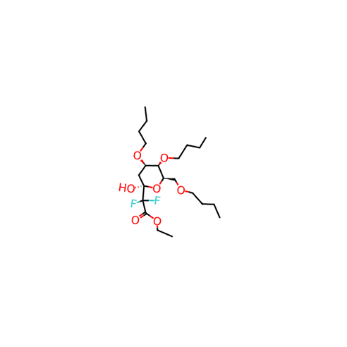 CCCCOC[C@H]1O[C@@](O)(C(F)(F)C(=O)OCC)C[C@@H](OCCCC)[C@H]1OCCCC